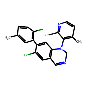 Cc1ccc(F)c(-c2cc3c(cc2Br)C=NCN3c2c(C)ccnc2C(C)C)c1